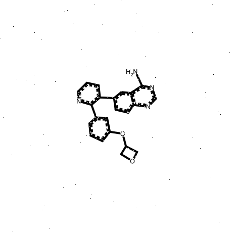 Nc1ncnc2ccc(-c3cccnc3-c3cccc(OC4COC4)c3)cc12